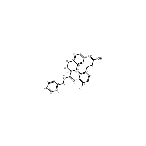 O=C(O)COc1ccc(Cl)cc1[C@@H]1c2ccccc2CCN1C(=O)OCc1ccncn1